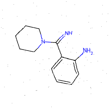 N=C(c1ccccc1N)N1CCCCC1